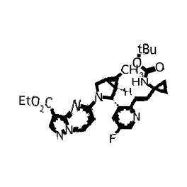 CCOC(=O)c1cnn2ccc(N3CC4=C(C)[C@H]4[C@@H]3c3cc(F)cnc3/C=C/C3(NC(=O)OC(C)(C)C)CC3)nc12